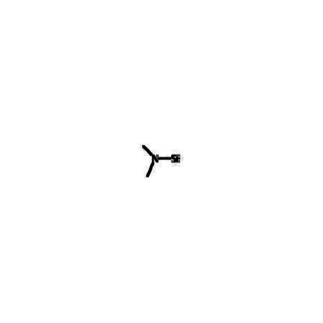 CN(C)[Si]